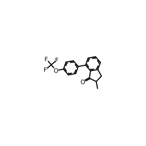 CC1Cc2cccc(-c3ccc(OC(F)(F)F)cc3)c2C1=O